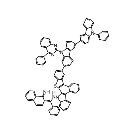 N=C1/C(=C(\Nn2c3ccccc3c3c4ccccc4c4c5cc(-c6ccc7c8cc(-c9ccc%10c(c9)c9ccccc9n%10-c9ccccc9)ccc8n(-c8nc(-c9ccccc9)c9ccccc9n8)c7c6)ccc5sc4c32)c2ccccc2)C=Cc2ccccc21